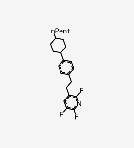 CCCCCC1CCC(c2ccc(CCc3cc(F)c(F)nc3F)cc2)CC1